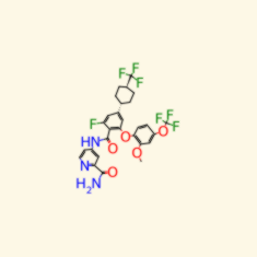 COc1cc(OC(F)(F)F)ccc1Oc1cc([C@H]2CC[C@H](C(F)(F)F)CC2)cc(F)c1C(=O)Nc1ccnc(C(N)=O)c1